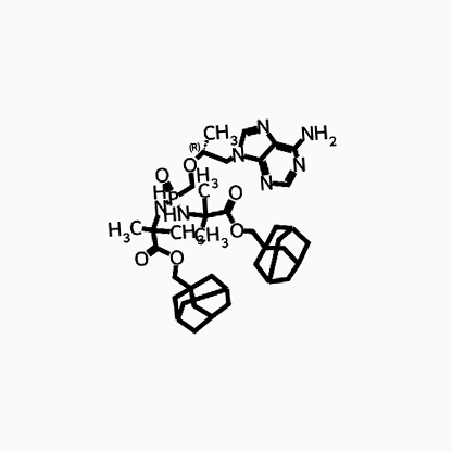 C[C@H](Cn1cnc2c(N)ncnc21)OCP(=O)(NC(C)(C)C(=O)OCC12CC3CC(CC(C3)C1)C2)NC(C)(C)C(=O)OCC12CC3CC(CC(C3)C1)C2